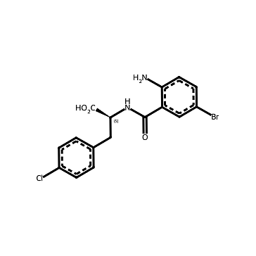 Nc1ccc(Br)cc1C(=O)N[C@@H](Cc1ccc(Cl)cc1)C(=O)O